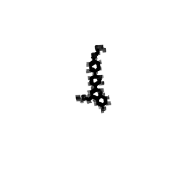 CCOc1ccc(-c2ccc(-c3cc(CC)c4cc(F)ccc4n3)cn2)cc1